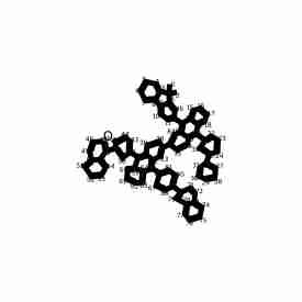 CC1(C)c2ccccc2-c2ccc(-c3c4ccccc4c(-c4cccc(-c5ccccc5)c4)c4ccc(-c5ccc6c(-c7ccc8oc9ccc%10ccccc%10c9c8c7)c7ccccc7c(-c7ccc(-c8ccc9ccccc9c8)cc7)c6c5)cc34)cc21